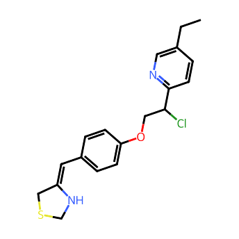 CCc1ccc(C(Cl)COc2ccc(/C=C3/CSCN3)cc2)nc1